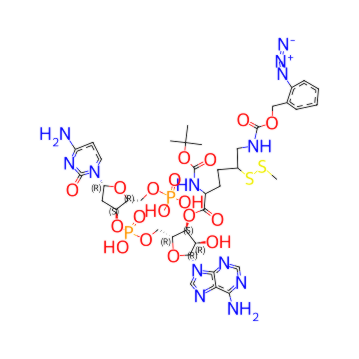 CSSC(CCC(NC(=O)OC(C)(C)C)C(=O)O[C@H]1[C@@H](O)[C@H](n2cnc3c(N)ncnc32)O[C@@H]1COP(=O)(O)O[C@H]1C[C@H](n2ccc(N)nc2=O)O[C@@H]1COP(=O)(O)O)CNC(=O)OCc1ccccc1N=[N+]=[N-]